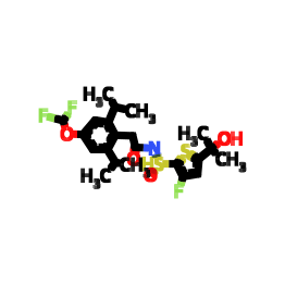 CC(C)c1cc(OC(F)F)cc(C(C)C)c1CC(=O)N=[SH](=O)c1sc(C(C)(C)O)cc1F